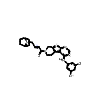 O=C(/C=C/CN1C2CCC1CC2)N1CCc2c(sc3ncnc(Nc4cc(O)cc(Cl)c4)c23)C1